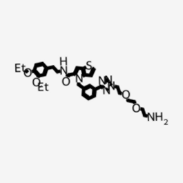 CCOc1ccc(CCNC(=O)c2cc3sccc3n2Cc2cccc(-c3nnn(CCOCCOCCN)n3)c2)cc1OCC